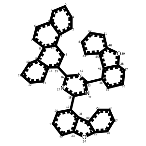 c1ccc2c(c1)ccc1c3ccccc3c(-c3nc(-c4cccc5oc6ccccc6c45)nc(-c4cccc5oc6ccccc6c45)n3)cc21